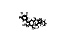 CCC1Cc2c(nn(C)c2-c2cc(F)c(F)c(F)c2)C(CC)N1C(=O)c1cnn2c1OCCC2